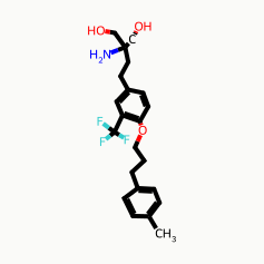 Cc1ccc(CCCOc2ccc(CCC(N)(CO)CO)cc2C(F)(F)F)cc1